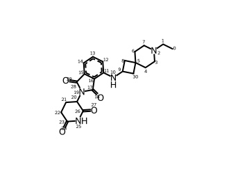 CCN1CCC2(CC1)CC(Nc1cccc3c1C(=O)N(C1CCC(=O)NC1=O)C3=O)C2